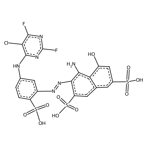 Nc1c(N=Nc2cc(Nc3nc(F)nc(F)c3Cl)ccc2S(=O)(=O)O)c(S(=O)(=O)O)cc2cc(S(=O)(=O)O)cc(O)c12